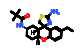 CCc1ccc2c(c1)C1(CSC(N)=N1)[C@H]1C[C@@H](NC(=O)C(C)(C)C)CC[C@@H]1O2